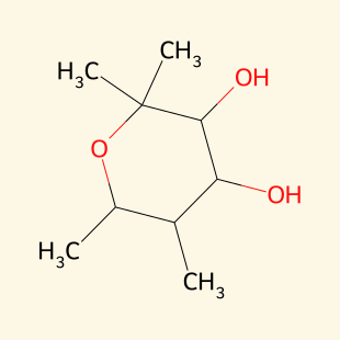 CC1OC(C)(C)C(O)C(O)C1C